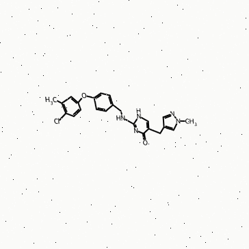 Cc1cc(Oc2ccc(CNc3nc(=O)c(Cc4cnn(C)c4)c[nH]3)cc2)ccc1Cl